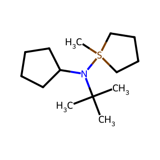 CC(C)(C)N(C1CCCC1)S1(C)CCCC1